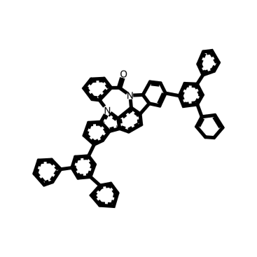 O=C1c2ccccc2-n2c3ccc(-c4cc(-c5ccccc5)cc(-c5ccccc5)c4)cc3c3ccc4c(c32)N1C1C=CC(c2cc(C3=CCCC=C3)cc(-c3ccccc3)c2)=CC41